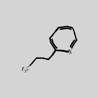 FC(F)(F)CCc1ccccn1